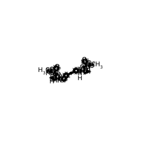 COC(=O)N[C@H](C(=O)N1[C@@H]2CC2C[C@H]1c1nc2ccc(C#Cc3ccc4c(ccc5[nH]c([C@@H]6C[C@H]7C[C@H]7N6C(=O)[C@@H](NC(=O)OC)C6CCOCC6)nc54)c3)cc2[nH]1)C1CCOCC1